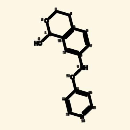 OB1OCCc2ccc(NOc3ccncc3)cc21